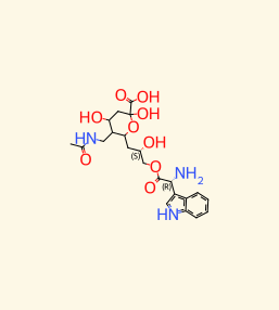 CC(=O)NCC1C(O)CC(O)(C(=O)O)OC1C[C@H](O)COC(=O)[C@H](N)c1c[nH]c2ccccc12